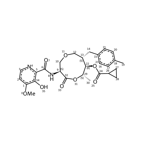 COc1ccnc(C(=O)N[C@H]2COC[C@H](Cc3ccc(C)cc3)[C@@H](OC(=O)C3CC3)[C@H](C)OC2=O)c1O